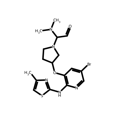 Cc1csc(Nc2ncc(Br)cc2OC2CCN(C(C=O)N(C)C)C2)n1